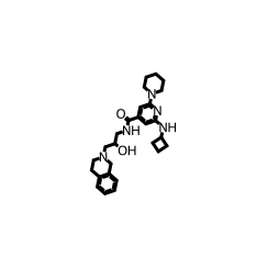 O=C(NCC(O)CN1CCc2ccccc2C1)c1cc(NC2CCC2)nc(N2CCCCC2)c1